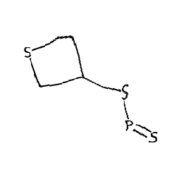 S=PSC1CSC1